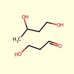 CC(O)CCO.O=CCCO